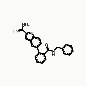 N=C(N)c1cc2cc(-c3ccccc3C(=O)NCc3ccccc3)ccc2s1